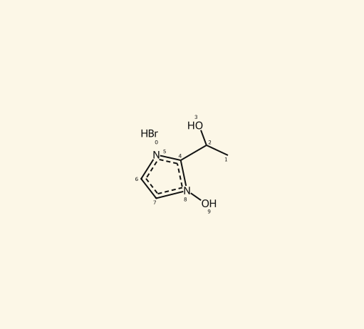 Br.CC(O)c1nccn1O